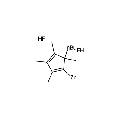 CCCCC1(C)C(C)=C(C)C(C)=[C]1[Zr].F.F